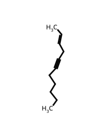 C/C=C/CC#CCCCCC